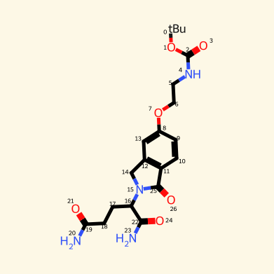 CC(C)(C)OC(=O)NCCOc1ccc2c(c1)CN(C(CCC(N)=O)C(N)=O)C2=O